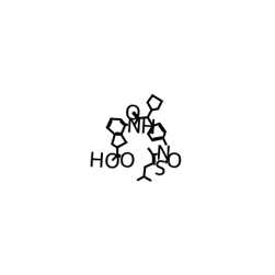 Cc1c(CC(C)C)sc(=O)n1Cc1ccc(C(C(=O)Nc2cccc3c2CC(C(=O)O)C3)C2CCCC2)cc1